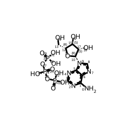 Nc1ncnc2c1ncn2[C@@H]1O[C@H](CO)[C@@H](O)[C@@H]1O.O=P(O)(O)OP(=O)(O)OP(=O)(O)O